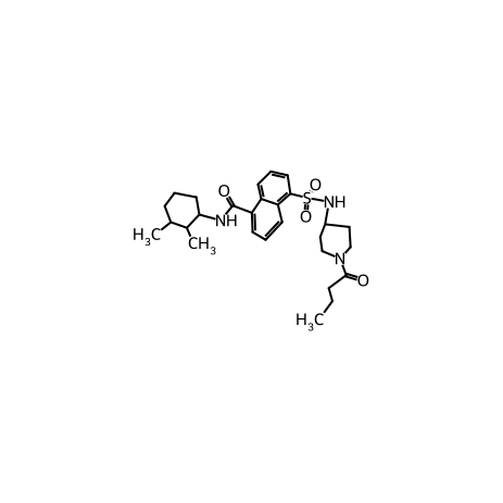 CCCC(=O)N1CCC(NS(=O)(=O)c2cccc3c(C(=O)NC4CCCC(C)C4C)cccc23)CC1